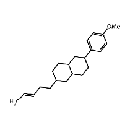 C/C=C/CCC1CCC2CC(c3ccc(OC)cc3)CCC2C1